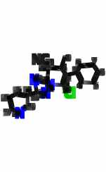 Cc1c(-c2ccccc2)c(Cl)n2nc(-c3cccnc3)nc2c1C#N